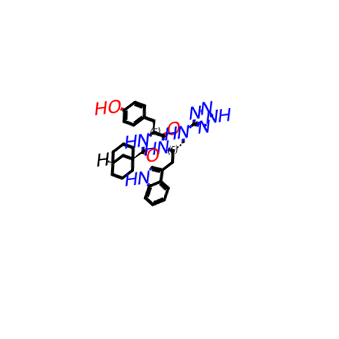 O=C(N[C@H](CNc1nn[nH]n1)Cc1c[nH]c2ccccc12)[C@H](Cc1ccc(O)cc1)NC(=O)[C@]12CCC[C@@H](CCC1)C2